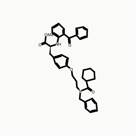 COC(=O)[C@H](Cc1ccc(OCCCN(Cc2ccccc2)C(=O)C2CCCCC2)cc1)Nc1ccccc1C(=O)c1ccccc1